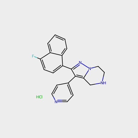 Cl.Fc1ccc(-c2nn3c(c2-c2ccncc2)CNCC3)c2ccccc12